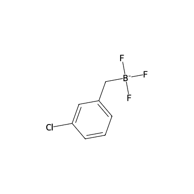 F[B-](F)(F)Cc1cccc(Cl)c1